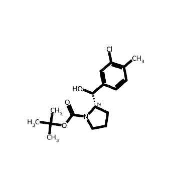 Cc1ccc(C(O)[C@@H]2CCCN2C(=O)OC(C)(C)C)cc1Cl